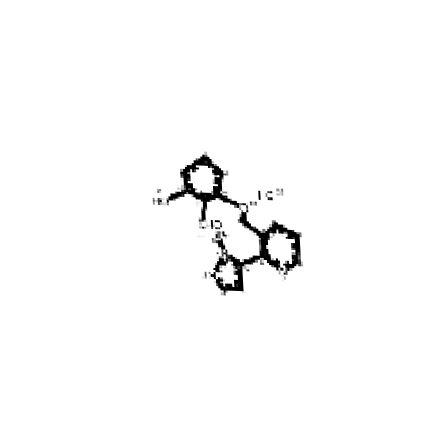 CC(C)n1nccc1-c1ncccc1COc1cccc(O)c1C=O.Cl